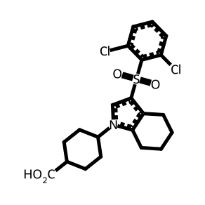 O=C(O)C1CCC(n2cc(S(=O)(=O)c3c(Cl)cccc3Cl)c3c2CCCC3)CC1